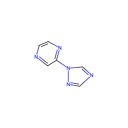 [c]1cnc(-n2cncn2)cn1